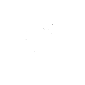 CON=C(c1ccc(F)cc1)c1cc2cnc(NN3CCCCC3)nc2n1-c1c(F)cccc1F